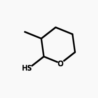 CC1CCCOC1S